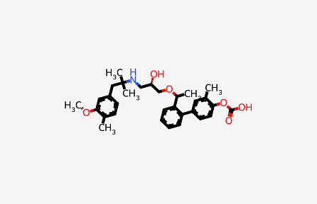 COc1cc(CC(C)(C)NC[C@@H](O)COC(C)c2ccccc2-c2ccc(OC(=O)O)c(C)c2)ccc1C